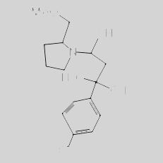 COCC1CCCN1C(C)CC(C)(C)c1ccc(Cl)cc1